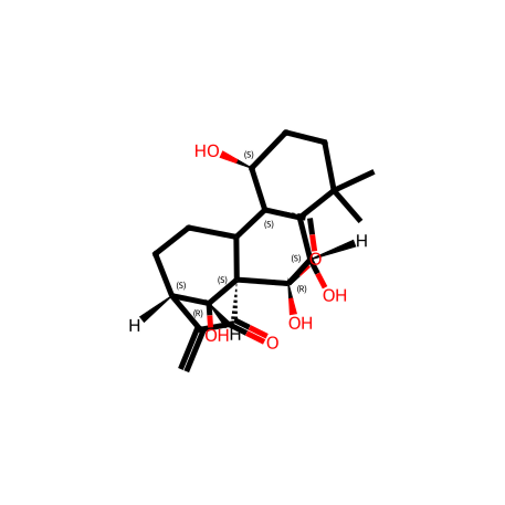 C=C1C(=O)[C@@]23C(CC[C@@H]1[C@H]2O)[C@@]12CO[C@@]3(O)[C@@H](O)C1C(C)(C)CC[C@@H]2O